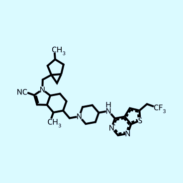 CC1CC2CC2(CN2C(C#N)=CC3C(C)C(CN4CCC(Nc5ncnc6sc(CC(F)(F)F)cc56)CC4)CCC32)C1